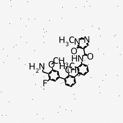 COc1cc(-c2cccc(-c3cccc(NC(=O)c4cncn(C)c4=O)c3C)c2C)cc(F)c1CN